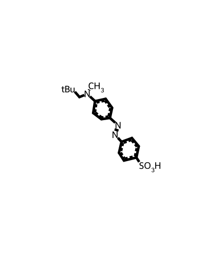 CN(CC(C)(C)C)c1ccc(/N=N/c2ccc(S(=O)(=O)O)cc2)cc1